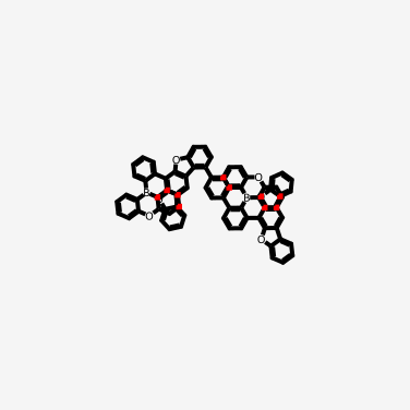 c1ccc2c(c1)Oc1ccccc1B2c1ccccc1-c1c2oc3ccccc3c2cc2c1oc1cccc(-c3ccc(-c4cccc(-c5c6oc7ccccc7c6cc6c5oc5ccccc56)c4B4c5ccccc5Oc5ccccc54)cc3)c12